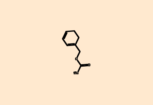 CC(C)(C)C(=O)OCC1=CC=CCC1